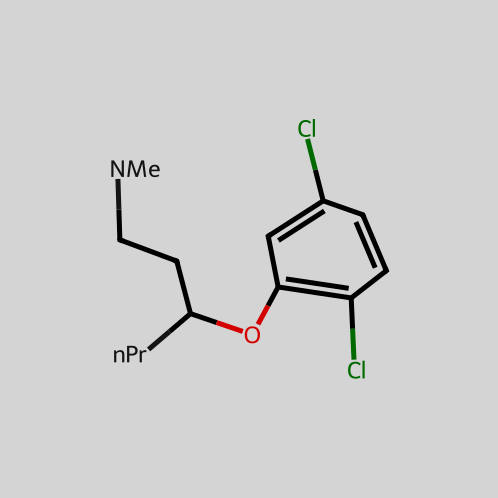 CCCC(CCNC)Oc1cc(Cl)ccc1Cl